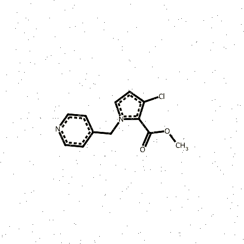 COC(=O)c1c(Cl)ccn1Cc1ccncc1